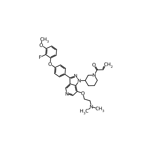 C=CC(=O)N1CCCC(n2nc(-c3ccc(Oc4cccc(OC)c4F)cc3)c3cncc(OCCN(C)C)c32)C1